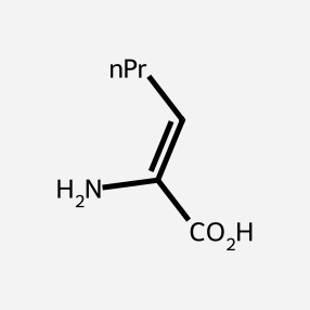 CCCC=C(N)C(=O)O